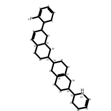 FC1=CC=CCC1C1C=CC2CCC(C3CCC4=C(CCC(C5CCC=CN5)C4)C3)CC2C1